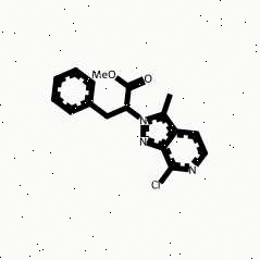 COC(=O)C(Cc1ccccc1)n1nc2c(Cl)nccc2c1C